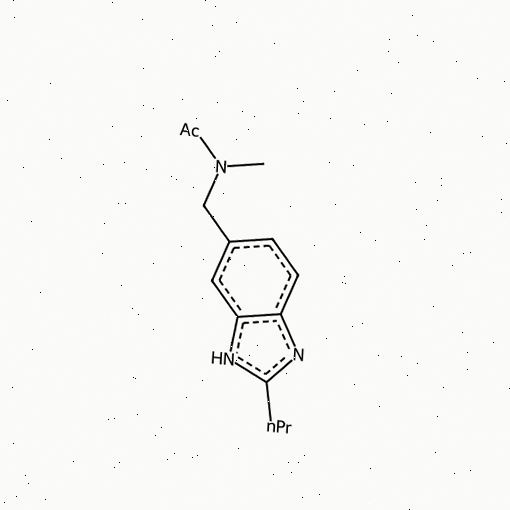 CCCc1nc2ccc(CN(C)C(C)=O)cc2[nH]1